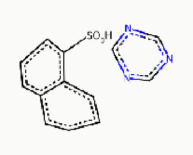 O=S(=O)(O)c1cccc2ccccc12.c1ncncn1